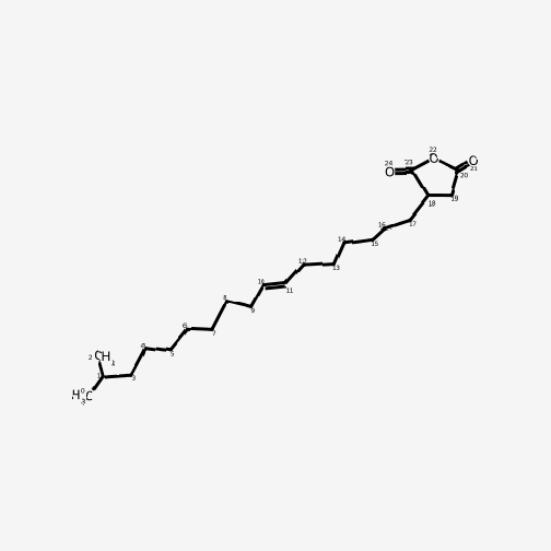 CC(C)CCCCCCCC=CCCCCCCC1CC(=O)OC1=O